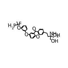 CC(F)(P)Oc1cccc(Oc2ccc3oc4cc(CCC(N)(CO)CO)ccc4c(=O)c3c2)c1